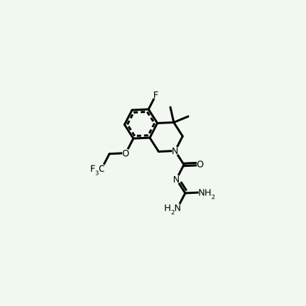 CC1(C)CN(C(=O)N=C(N)N)Cc2c(OCC(F)(F)F)ccc(F)c21